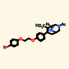 CC(=O)N1CC2CC(c3ccc(OCCOc4ccc(Br)cc4)cc3)=C(C(=O)O)[C@@H](C1)N2